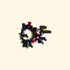 COCC(S)(CCC(=O)N(C)[C@@H](C)C(=O)OC1CC(=O)N(C)c2cc(cc(C)c2Cl)C/C(C)=C/C=C/[C@@H](C)[C@@]2(O)C[C@H](OC(=O)N2)[C@@H](C)[C@@H]2O[C@@]12C)COC